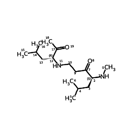 CN[C@@H](CC(C)C)C(=O)CCN[C@H](CC(C)C)C(C)=O